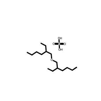 CCCCC(CC)COCC(CC)CCCC.O=S(=O)(O)O